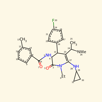 CCN1C(=O)C(NC(=O)c2cccc(C)c2)C(c2ccc(F)cc2)C(C(C)NC)=C1NC1CC1